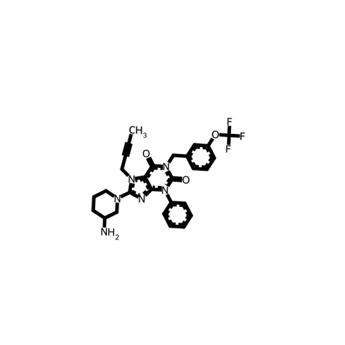 CC#CCn1c(N2CCCC(N)C2)nc2c1c(=O)n(Cc1cccc(OC(F)(F)F)c1)c(=O)n2-c1ccccc1